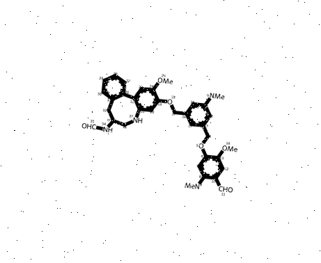 CNc1cc(COc2cc(NC)c(C=O)cc2OC)cc(COc2cc3c(cc2OC)-c2ccccc2CC(NC=O)CN3)c1